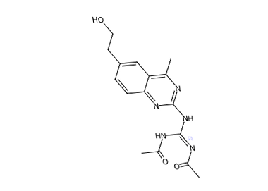 CC(=O)/N=C(\NC(C)=O)Nc1nc(C)c2cc(CCO)ccc2n1